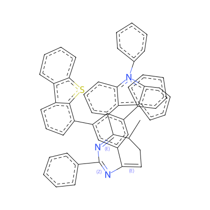 CC1C/C=C(c2cc(-c3ccccc3)cc(-c3cccc4c3sc3ccccc34)c2)/N=C(c2ccccc2)\N=C/1c1cccc2c1c1ccccc1n2-c1ccccc1